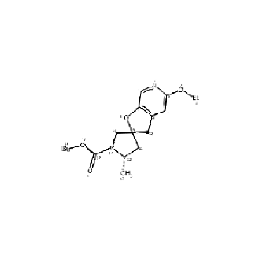 CCOc1cc2c(cn1)O[C@]1(C2)C[C@H](C)N(C(=O)OC(C)(C)C)C1